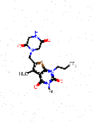 CCn1c(=O)c2c(C)c(CN3CC(=O)NCC3=O)sc2n(CCC(F)(F)F)c1=O